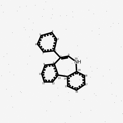 C1=C(c2ccccc2)c2ccccc2-c2ccccc2N1